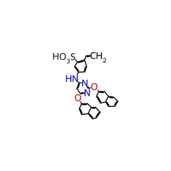 C=Cc1ccc(Nc2cc(Oc3ccc4ccccc4c3)nc(Oc3ccc4ccccc4c3)n2)cc1S(=O)(=O)O